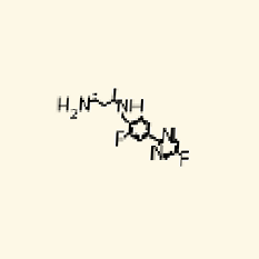 CC(C[CH]N)NCc1ccc(-c2ncc(F)cn2)cc1F